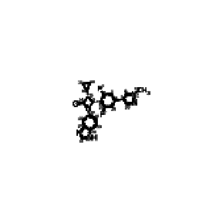 Cn1cc(-c2cc(F)c([C@H]3[C@@H](C4CC4)C(=O)N3c3ccc4[nH]cnc4c3)c(F)c2)cn1